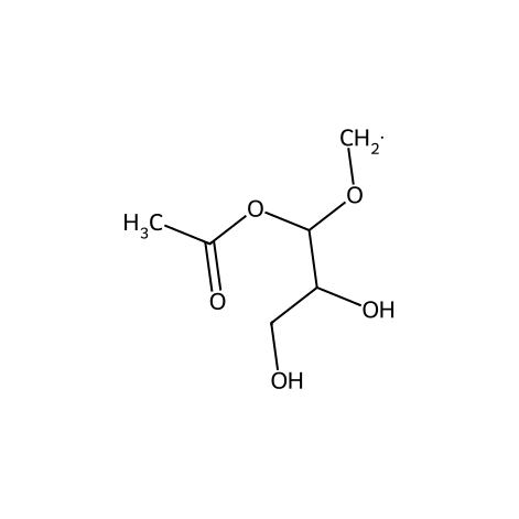 [CH2]OC(OC(C)=O)C(O)CO